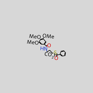 COc1cc(C(=O)NC(CCSC(=O)c2ccccc2)C(=O)O)cc(OC)c1OC